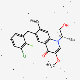 COc1cc2c(cc1Cc1cccc(Cl)c1F)c(=O)c(OC(=O)O)cn2[C@H](CO)C(C)(C)C